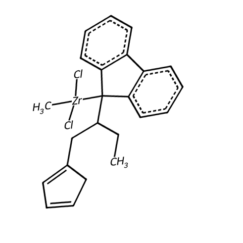 CCC(CC1=CC=CC1)[C]1([Zr]([CH3])([Cl])[Cl])c2ccccc2-c2ccccc21